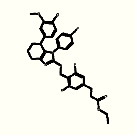 CCOC(=O)CCc1cc(F)c(CSc2nc3c(n2-c2ccc(F)cc2)C(c2ccc(Cl)c(OC)c2)CCC3)c(F)c1